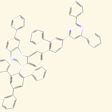 c1ccc(-c2cc(-c3ccccc3)c(-n3c4ccc(-c5ccc(-c6cc(-c7ccccc7)nc(-c7ccccc7)n6)cc5-c5ccccc5)cc4n4c5cc(-c6ccccc6)ccc5nc34)c(-c3ccccc3)c2)cc1